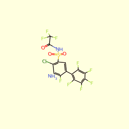 N.O=C(NS(=O)(=O)c1cc(-c2c(F)c(F)c(F)c(F)c2F)c(F)cc1Cl)C(F)(F)F